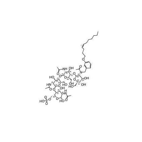 CCCCCC/C=C\CCCOc1cccc(CN(C(C)=O)[C@H]2[C@H](O[C@H]3[C@H](O)[C@@H](NC(C)=O)[C@H](O[C@H]4[C@H](O)[C@@H](NC(C)=O)[C@H](O[C@H]5[C@H](O)[C@@H](NC(C)=O)C(O)O[C@@H]5COS(=O)(=O)O)O[C@@H]4CO)O[C@@H]3CO)O[C@H](CO)[C@@H](O)[C@@H]2O)c1